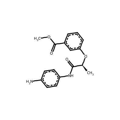 COC(=O)c1cccc(O[C@@H](C)C(=O)Nc2ccc(N)cc2)c1